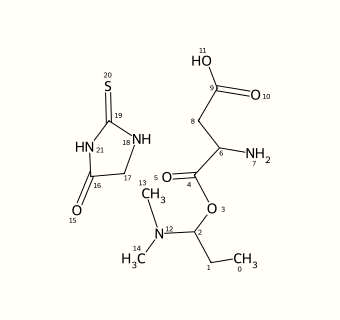 CCC(OC(=O)C(N)CC(=O)O)N(C)C.O=C1CNC(=S)N1